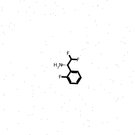 N[C@@H](c1ccccc1F)C(F)F